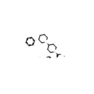 COC(=O)[C@@H]1CC(N2CCC[C@@H](c3ccccc3)C2)CCN1C(=O)OC(C)(C)C